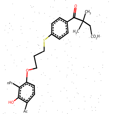 CCCc1c(OCCCSc2ccc(C(=O)C(C)(C)CC(=O)O)cc2)ccc(C(C)=O)c1O